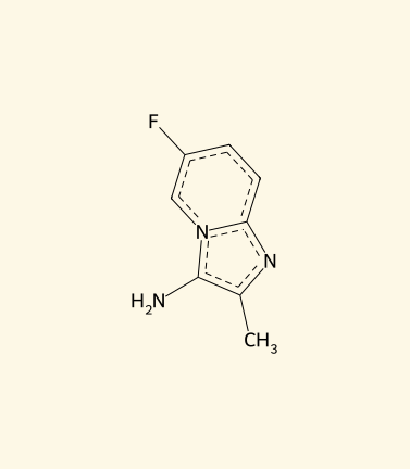 Cc1nc2ccc(F)cn2c1N